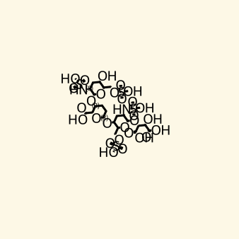 O=C(O)C(O)C(OC1OC(COS(=O)(=O)O)C(O[C@H]2CC[C@@H](OC3OC(COS(=O)(=O)O)C(O)C[C@@H]3NS(=O)(=O)O)C(C(=O)O)O2)CC1NS(=O)(=O)O)C(=O)O